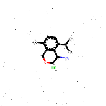 Cc1ccc(C(C)C)c2c1COCC2N.Cl